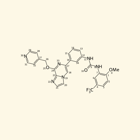 COc1ccc(C(F)(F)F)cc1NC(=O)Nc1cccc(-c2cn3ccnc3c(OCc3ccncc3)n2)c1